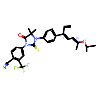 C=C/C(=C\C=C(/C)OC(C)C)c1ccc(N2C(=S)N(c3ccc(C#N)c(C(F)(F)F)c3)C(=O)C2(C)C)cc1